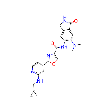 CN(C)c1cc2c(cc1NC(=O)c1coc(-c3ccnc(NCC4CC4)c3)n1)CNC2=O